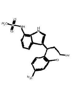 Cc1ccc(C(CCO)c2c[nH]c3c(NS(C)(=O)=O)cccc23)c(Cl)c1